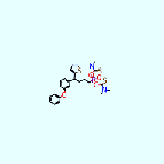 CN(C)C(=S)OP(=O)(CCCC(c1cccc(Oc2ccccc2)c1)c1cccs1)OC(=S)N(C)C